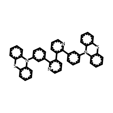 c1cc(-c2ncccc2-c2cccnc2-c2cccc(N3c4ccccc4Sc4ccccc43)c2)cc(N2c3ccccc3Sc3ccccc32)c1